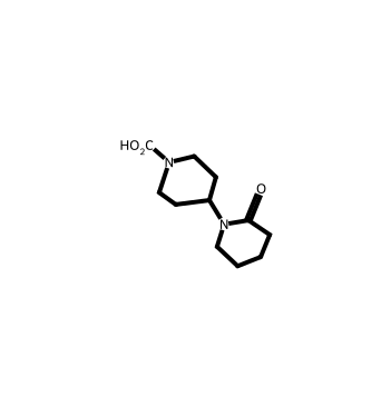 O=C(O)N1CCC(N2CCCCC2=O)CC1